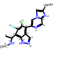 CC(=O)Nc1cn2cc(-c3c(Cl)c(F)c(C(C)NC=O)c4[nH]ncc34)ncc2n1